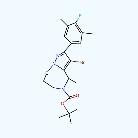 Cc1cc(-c2nn3c(c2Br)C(C)N(C(=O)OC(C)(C)C)CCC3)cc(C)c1F